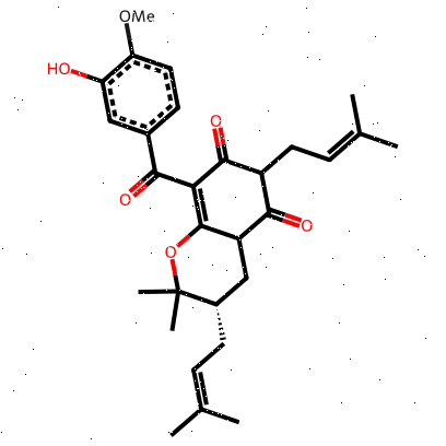 COc1ccc(C(=O)C2=C3OC(C)(C)[C@@H](CC=C(C)C)CC3C(=O)C(CC=C(C)C)C2=O)cc1O